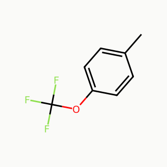 Cc1ccc(OC(F)(F)F)cc1